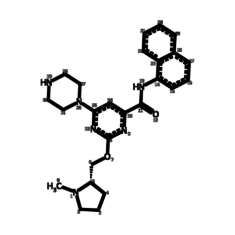 CN1CCC[C@H]1COc1nc(C(=O)Nc2cccc3ccccc23)cc(N2CCNCC2)n1